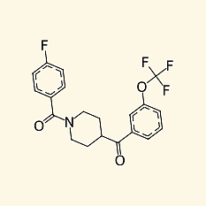 O=C(c1cccc(OC(F)(F)F)c1)C1CCN(C(=O)c2ccc(F)cc2)CC1